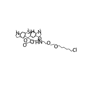 CN1CCc2cc3c(cc21)[SiH](C)c1cc2c(cc1C31OC(=O)c3ccc(C(=O)NCCOCCOCCCCCCCl)cc31)CCN2C